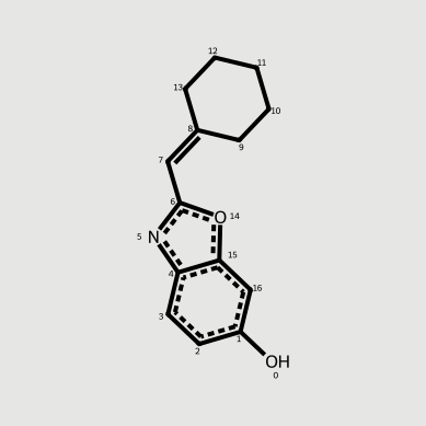 Oc1ccc2nc(C=C3CCCCC3)oc2c1